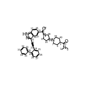 CN(C)C(=O)C1CCN([C@@H]2CCN(C(=O)c3ccc4[nH]nc(C#Cc5ccccc5-c5ccccc5)c4c3)C2)CC1